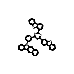 c1cc(-c2nc(-c3ccc4c(c3)oc3ccccc34)nc(-c3cccc4c3oc3ccccc34)n2)cc(-n2c3ccccc3c3cc4ccccc4cc32)c1